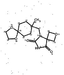 CC1(CN2C(=O)NC(=O)C23COC3)CCC2(CC1)OCCO2